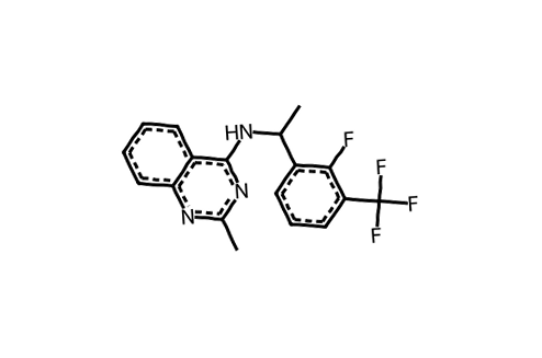 Cc1nc(NC(C)c2cccc(C(F)(F)F)c2F)c2ccccc2n1